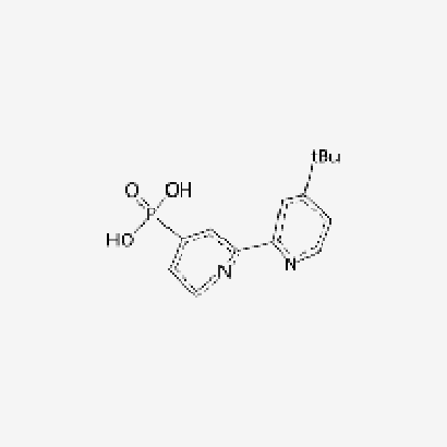 CC(C)(C)c1ccnc(-c2cc(P(=O)(O)O)ccn2)c1